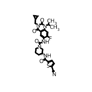 CC(C)n1c(=O)n(CC2CC2)c(=O)c2cc(NC(=O)N3CCC[C@@H](NC(=O)c4ccc(C#N)s4)C3)c(F)cc21